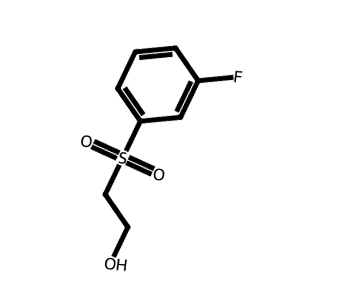 O=S(=O)(CCO)c1cccc(F)c1